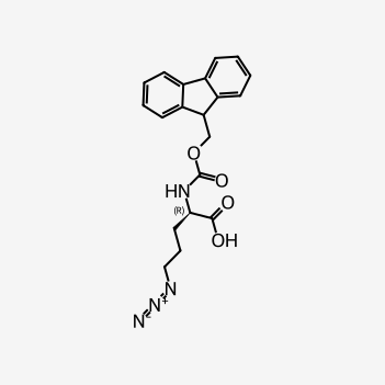 [N-]=[N+]=NCCC[C@@H](NC(=O)OCC1c2ccccc2-c2ccccc21)C(=O)O